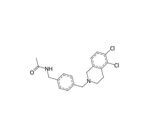 CC(=O)NCc1ccc(CN2CCc3c(ccc(Cl)c3Cl)C2)cc1